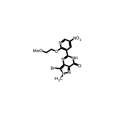 COCCOc1ncc([N+](=O)[O-])cc1-c1nc2c(Br)n(C)nc2c(=O)[nH]1